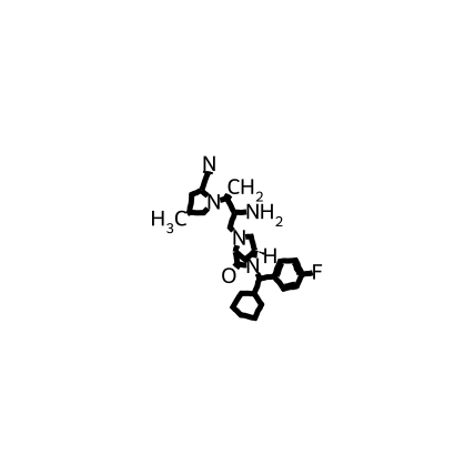 C=C(C(N)CN1C[C@@H]2CC1C(=O)N2C(c1ccc(F)cc1)C1CCCCC1)N1CC(C)CC1C#N